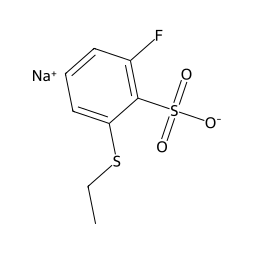 CCSc1cccc(F)c1S(=O)(=O)[O-].[Na+]